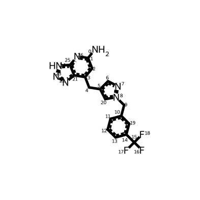 Nc1cc(Cc2cnn(Cc3cccc(C(F)(F)F)c3)c2)c2nn[nH]c2n1